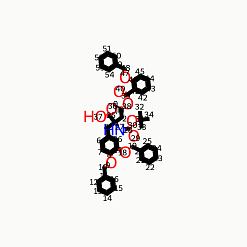 C[C@H](CC(Cc1ccc(OCc2ccccc2)c(OCc2ccccc2)c1)(NC(=O)OC(C)(C)C)C(=O)O)OC(=O)c1ccccc1OCc1ccccc1